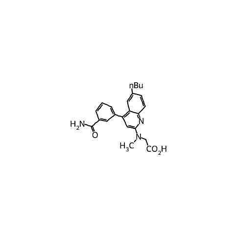 CCCCc1ccc2nc(N(C)CC(=O)O)cc(-c3cccc(C(N)=O)c3)c2c1